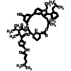 CCn1c(-c2ccccc2CN(C)C)c2c3cc(ccc31)-c1cc(O)cc(c1)C[C@H](NC(=O)[C@H](C(C)C)N(C)C(=O)c1nc(NC(=O)/C=C/CN(C)C)cs1)C(=O)N1CCC[C@H](N1)C(=O)OCC(C)(C)C2